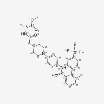 COC(=O)[C@@H](C)NC(=O)CC1CCN(c2ccc(NC(=O)c3cccc(C)c3-c3ccc(C(F)(F)F)cc3)cc2)CC1